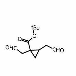 CC(C)(C)OC(=O)C1(CC=O)CC1CC=O